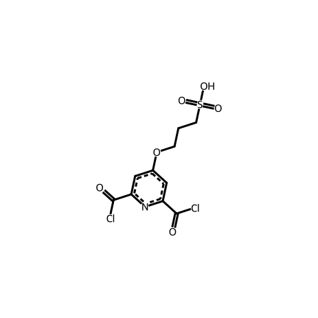 O=C(Cl)c1cc(OCCCS(=O)(=O)O)cc(C(=O)Cl)n1